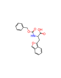 O=C(NC(Cc1occ2ccccc12)C(=O)O)OCc1ccccc1